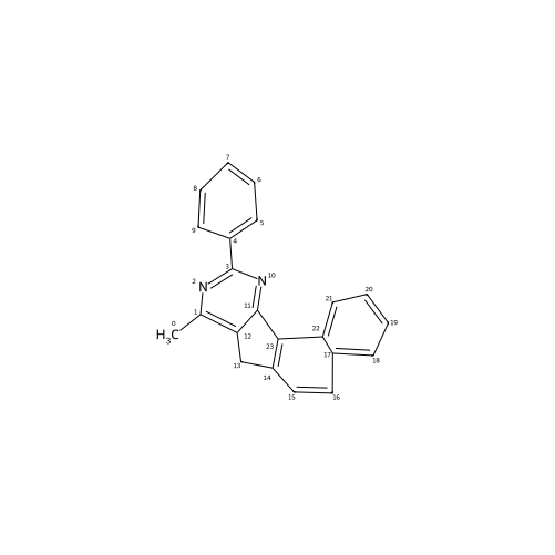 Cc1nc(-c2ccccc2)nc2c1Cc1ccc3ccccc3c1-2